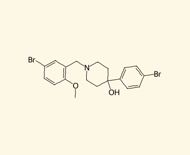 COc1ccc(Br)cc1CN1CCC(O)(c2ccc(Br)cc2)CC1